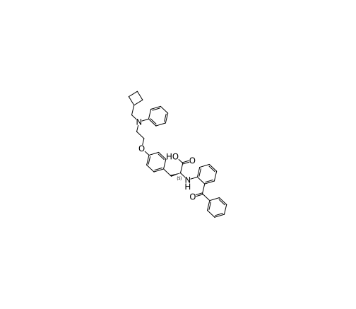 O=C(c1ccccc1)c1ccccc1N[C@@H](Cc1ccc(OCCN(CC2CCC2)c2ccccc2)cc1)C(=O)O